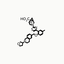 Cc1ccc(OCc2ccc3c(c2)CCN(C2CCOC2)C3)c(-c2csc(N3CC[C@@]4(C(=O)O)C[C@H]4C3)n2)c1